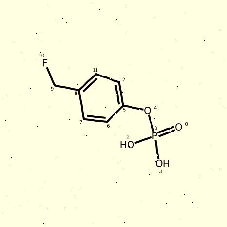 O=P(O)(O)Oc1ccc(CF)cc1